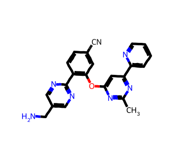 Cc1nc(Oc2cc(C#N)ccc2-c2ncc(CN)cn2)cc(-c2ccccn2)n1